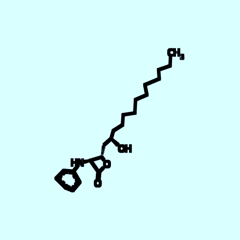 CCCCCCCCCCC[C@@H](O)C[C@@H]1OC(=O)[C@H]1Nc1ccccc1